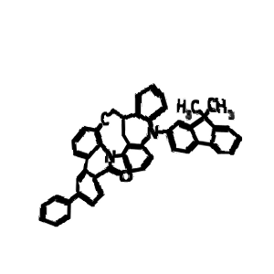 CC1(C)c2ccccc2-c2ccc(N3c4ccccc4C4CCc5cccc6c7cc(-c8ccccc8)ccc7c(=O)n(c56)-c5cccc3c5C4)cc21